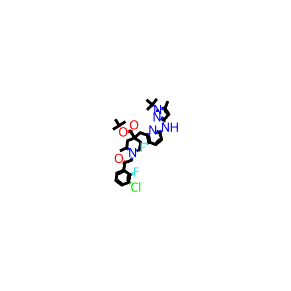 Cc1cc(Nc2ccc(F)c(CC3(C(=O)OC(C)(C)C)CCN(CC(=O)c4cccc(Cl)c4F)C(C)C3)n2)nn1C(C)(C)C